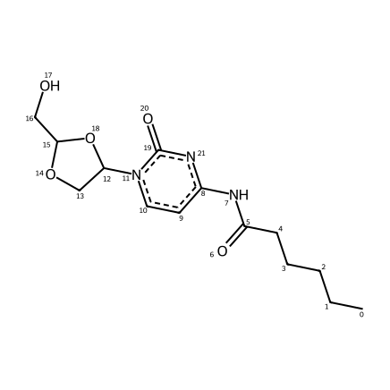 CCCCCC(=O)Nc1ccn(C2COC(CO)O2)c(=O)n1